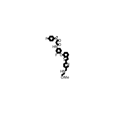 COCCNCc1ccc(-c2cc3cccc(Oc4ccc(NC(=O)CC(=O)N(C)c5ccc(F)cc5)cc4F)c3s2)nc1